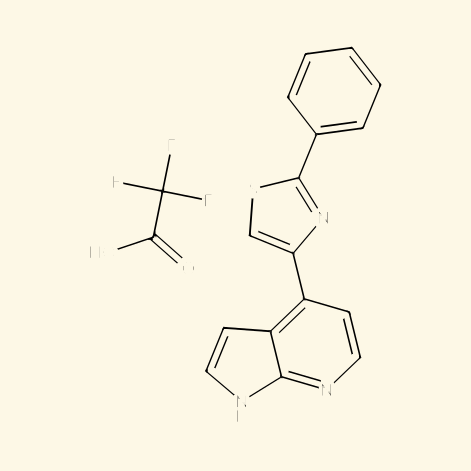 O=C(O)C(F)(F)F.c1ccc(-c2nc(-c3ccnc4[nH]ccc34)cs2)cc1